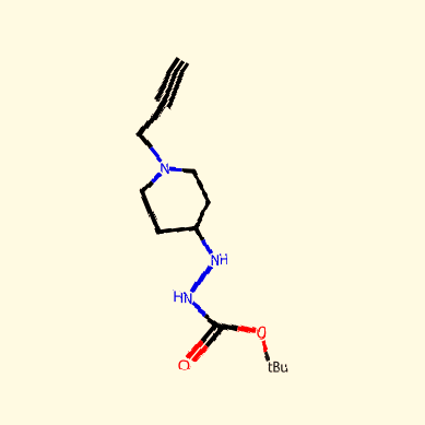 C#CCN1CCC(NNC(=O)OC(C)(C)C)CC1